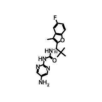 Cc1c([C@@H](NC(=O)Nc2ncc(N)cn2)C(C)(C)C)oc2ccc(F)cc12